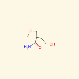 NC(=O)C1(CCO)COC1